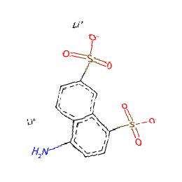 Nc1ccc(S(=O)(=O)[O-])c2cc(S(=O)(=O)[O-])ccc12.[Li+].[Li+]